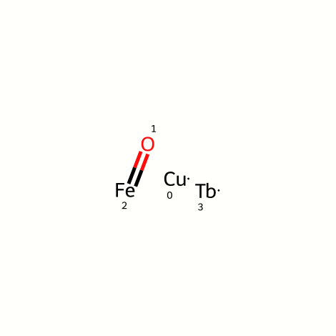 [Cu].[O]=[Fe].[Tb]